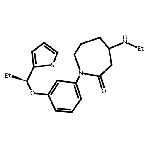 [CH2]C[C@H](Oc1cccc(N2CCCC(NCC)CC2=O)c1)c1cccs1